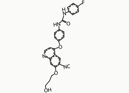 [C-]#[N+]c1cc2c(Oc3ccc(NC(=O)Nc4ccc(F)cc4)cc3)ccnc2cc1OCCCO